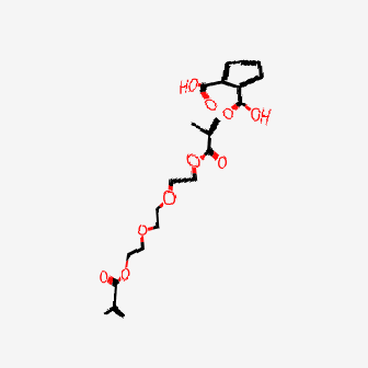 C=C(C)C(=O)OCCOCCOCCOC(=O)C(=C)C.O=C(O)c1ccccc1C(=O)O